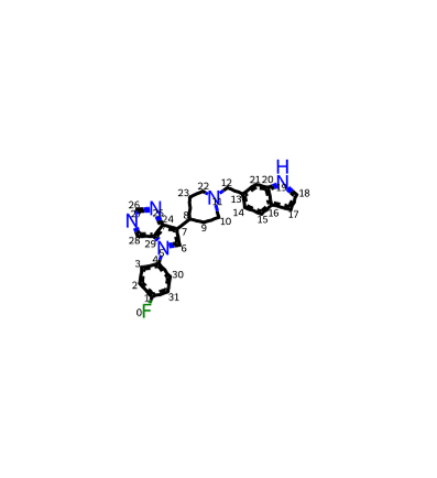 Fc1ccc(-n2cc(C3CCN(Cc4ccc5cc[nH]c5c4)CC3)c3ncncc32)cc1